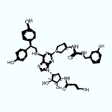 O=C(CCO)N[C@H]1C[C@@H](n2cnc3c(NCC(c4ccc(O)cc4)c4ccc(O)cc4)nc(N4CC[C@@H](NC(=O)NCc5cccc(O)c5)C4)nc32)[C@H](O)[C@@H]1O